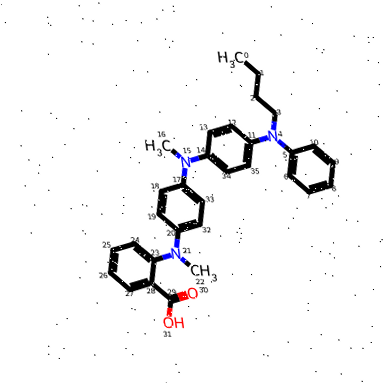 CCCCN(c1ccccc1)c1ccc(N(C)c2ccc(N(C)c3ccccc3C(=O)O)cc2)cc1